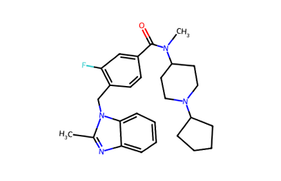 Cc1nc2ccccc2n1Cc1ccc(C(=O)N(C)C2CCN(C3CCCC3)CC2)cc1F